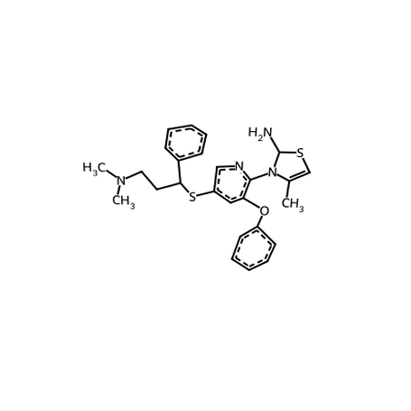 CC1=CSC(N)N1c1ncc(SC(CCN(C)C)c2ccccc2)cc1Oc1ccccc1